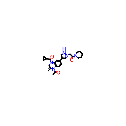 CC(=O)N1c2ccc(C3CNN(CC(=O)N4CCCCC4)C3)cc2N(C(=O)C2CC2)C[C@@H]1C